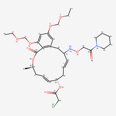 CCOCOc1cc2c(c(OCOCC)c1)C(=O)O[C@H](C)C/C=C/[C@@H](OC(=O)CCl)C/C=C/C(NOCC(=O)N1CCCCC1)C2